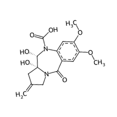 C=C1CN2C(=O)c3cc(OC)c(OC)cc3N(C(=O)O)[C@@H](O)[C@]2(O)C1